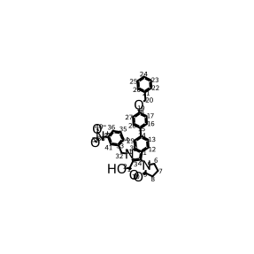 O=C(O)c1c(N2CCCC2=O)c2ccc(-c3ccc(OCc4ccccc4)cc3)cc2n1Cc1cccc([N+](=O)[O-])c1